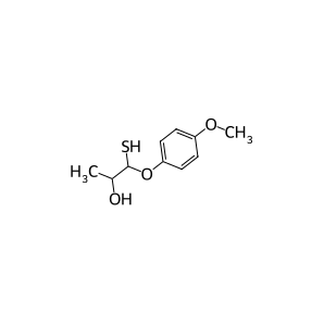 COc1ccc(OC(S)C(C)O)cc1